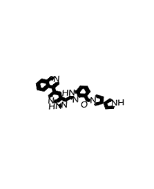 C1CCNC1.O=C(c1cccc2[nH]c(-c3n[nH]c4ncc(-c5cncc6ccccc56)cc34)nc12)N1CCCC1